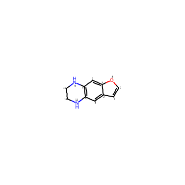 c1cc2cc3c(cc2o1)NCCN3